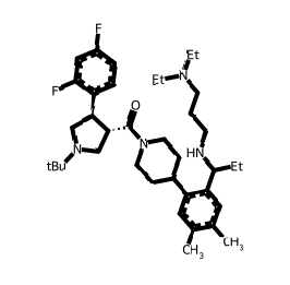 CCC(NCCCN(CC)CC)c1cc(C)c(C)cc1C1CCN(C(=O)[C@@H]2CN(C(C)(C)C)C[C@H]2c2ccc(F)cc2F)CC1